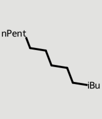 [CH2]CC(C)CCCCCCCCCC